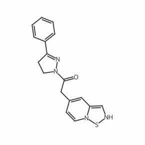 O=C(CC1=CC2=CNSN2C=C1)N1CCC(c2ccccc2)=N1